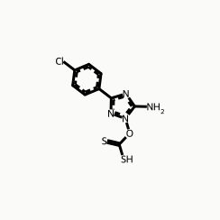 Nc1nc(-c2ccc(Cl)cc2)nn1OC(=S)S